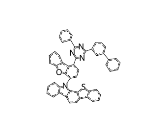 c1ccc(-c2cccc(-c3nc(-c4ccccc4)nc(-c4ccc(-n5c6ccccc6c6ccc7c8ccccc8sc7c65)c5oc6ccccc6c45)n3)c2)cc1